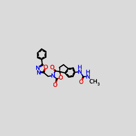 CNC(=O)Nc1ccc2c(c1)CC[C@]21OC(=O)N(Cc2nnc(-c3ccccc3)o2)C1=O